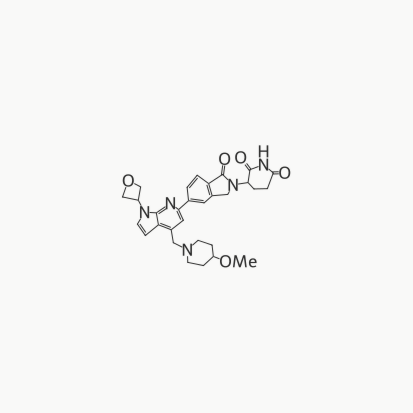 COC1CCN(Cc2cc(-c3ccc4c(c3)CN(C3CCC(=O)NC3=O)C4=O)nc3c2ccn3C2COC2)CC1